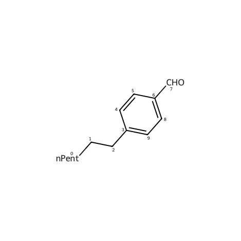 CCCCCCCc1ccc(C=O)cc1